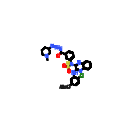 COc1ccc(Cl)c(Nc2nc3ccccc3nc2N(c2cccc(C(=O)N=[N+]=NC3CCCN(C)C3)c2)[SH](=O)=O)c1